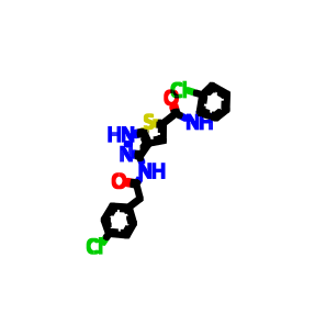 O=C(Cc1ccc(Cl)cc1)Nc1n[nH]c2sc(C(=O)Nc3ccccc3Cl)cc12